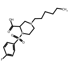 CCCCCCN1CCN(S(=O)(=O)c2ccc(F)cc2)C(C(=O)O)C1